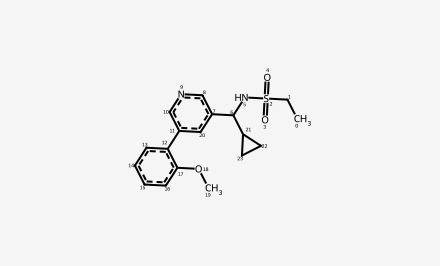 CCS(=O)(=O)NC(c1cncc(-c2ccccc2OC)c1)C1CC1